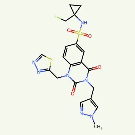 Cn1cc(Cn2c(=O)c3cc(S(=O)(=O)NC4(CF)CC4)ccc3n(Cc3nncs3)c2=O)cn1